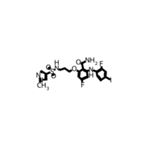 Cn1cc(S(=O)(=O)NCCCOc2cc(F)cc(Nc3ccc(I)cc3F)c2C(N)=O)cn1